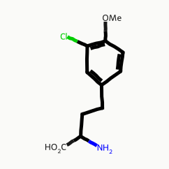 COc1ccc(CCC(N)C(=O)O)cc1Cl